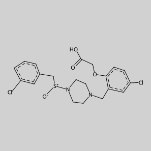 O=C(O)COc1ccc(Cl)cc1CN1CCN([S+]([O-])Cc2cccc(Cl)c2)CC1